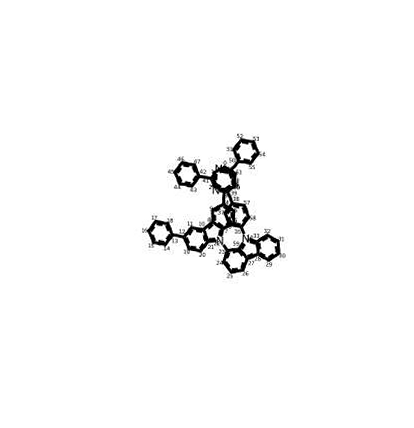 c1ccc(-c2ccc3c(c2)c2cc(-c4ccccc4)ccc2n3-c2cccc3c4ccccc4n(-c4ccc(-c5nc(-c6ccccc6)nc(-c6ccccc6)n5)cc4)c23)cc1